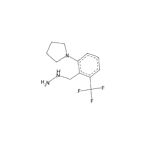 NNCc1c(N2CCCC2)cccc1C(F)(F)F